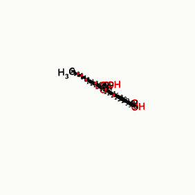 CCCCCCCCCCCCCCCCCC(=O)OC(CCCCCCCCCCCCCCCC(=O)O)C(O)CO